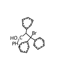 O=C(O)C(c1ccccc1)C(Br)(c1ccccc1)c1ccccc1.P